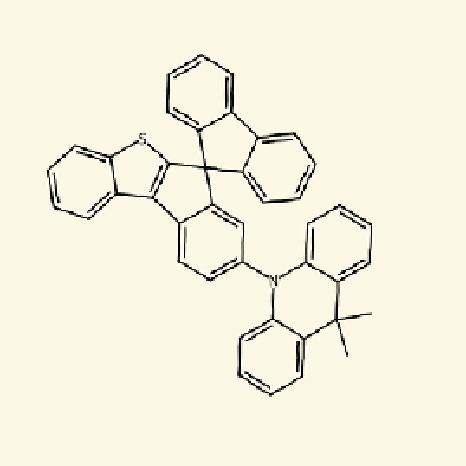 CC1(C)c2ccccc2N(c2ccc3c(c2)C2(c4ccccc4-c4ccccc42)c2sc4ccccc4c2-3)c2ccccc21